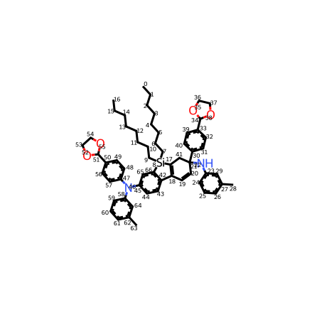 CCCCCCCC[Si]1(CCCCCCCC)C2=C(C=CC(Nc3cccc(C)c3)(c3ccc(C4OCCO4)cc3)C2)c2ccc(N(c3ccc(C4OCCO4)cc3)c3cccc(C)c3)cc21